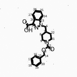 O=C(O)c1nn(CC2CCN(C(=O)OCc3ccccc3)CC2)c2ccccc12